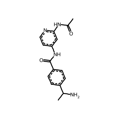 CC(=O)Nc1cc(NC(=O)c2ccc(C(C)N)cc2)ccn1